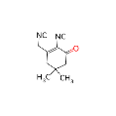 [C-]#[N+]CC1=C([N+]#[C-])C(=O)CC(C)(C)C1